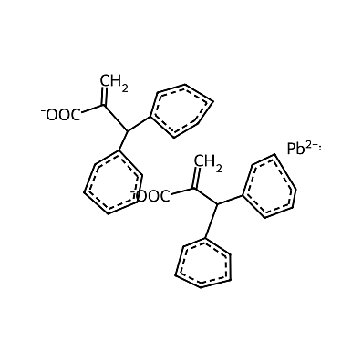 C=C(C(=O)[O-])C(c1ccccc1)c1ccccc1.C=C(C(=O)[O-])C(c1ccccc1)c1ccccc1.[Pb+2]